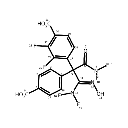 O=C(O)c1ccc(C(C(=O)N(F)F)(C(=NO)N(F)F)c2ccc(C(=O)O)c(F)c2F)cc1